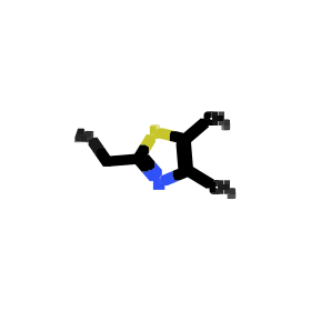 CC(=O)Cc1nc(C)c(C)s1